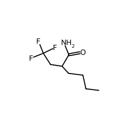 CCCCC(CC(F)(F)F)C(N)=O